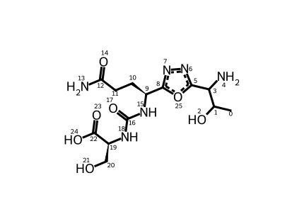 CC(O)C(N)c1nnc([C@H](CCC(N)=O)NC(=O)N[C@@H](CO)C(=O)O)o1